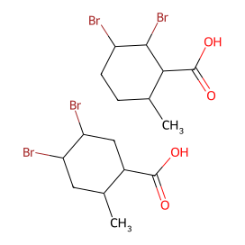 CC1CC(Br)C(Br)CC1C(=O)O.CC1CCC(Br)C(Br)C1C(=O)O